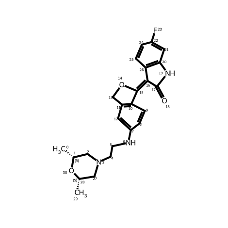 C[C@@H]1CN(CCNc2ccc3c(c2)COC3=C2C(=O)Nc3cc(F)ccc32)C[C@H](C)O1